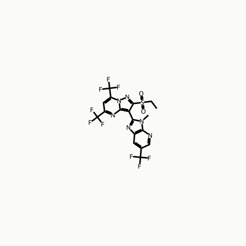 CCS(=O)(=O)c1nn2c(C(F)(F)F)cc(C(F)(F)F)nc2c1-c1nc2cc(C(F)(F)F)cnc2n1C